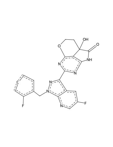 O=C1Nc2nc(-c3nn(Cc4ccccc4F)c4ncc(F)cc34)nc3c2C1(O)CCO3